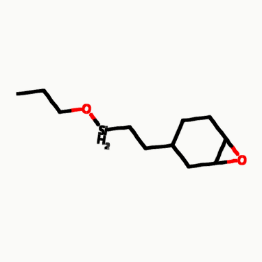 CCCO[SiH2]CCC1CCC2OC2C1